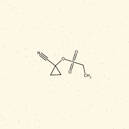 CCS(=O)(=O)OC1(C#N)CC1